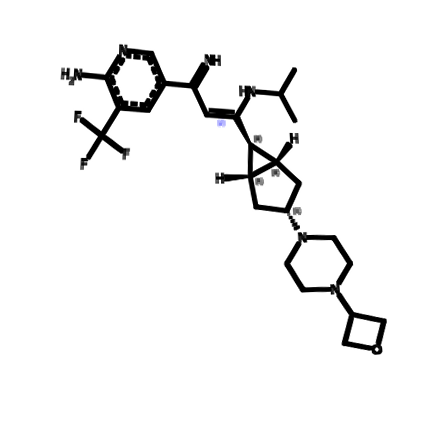 CC(C)N/C(=C\C(=N)c1cnc(N)c(C(F)(F)F)c1)[C@H]1[C@@H]2C[C@H](N3CCN(C4COC4)CC3)C[C@@H]21